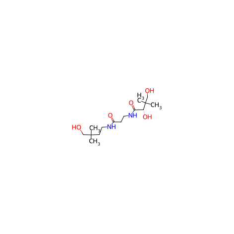 CC(C)(CO)CCNC(=O)CCNC(=O)[C@@H](O)C(C)(C)CO